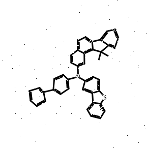 CC1(C)c2ccccc2-c2ccc3ccc(N(c4ccc(-c5ccccc5)cc4)c4ccc5sc6ccccc6c5c4)cc3c21